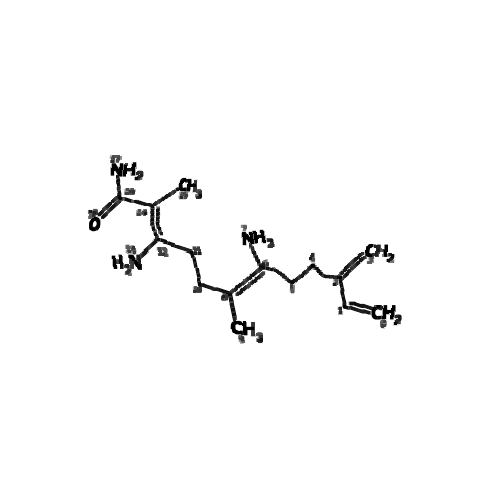 C=CC(=C)CC/C(N)=C(\C)CC/C(N)=C(\C)C(N)=O